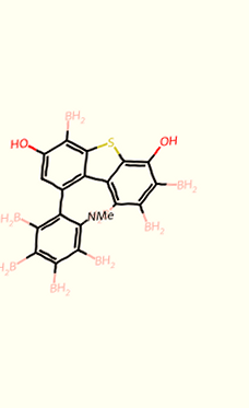 Bc1c(B)c(B)c(-c2cc(O)c(B)c3sc4c(O)c(B)c(B)c(B)c4c23)c(NC)c1B